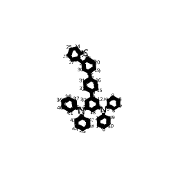 c1ccc(N(c2ccccc2)c2cc(-c3ccc(-c4ccc5sc6ccccc6c5c4)cc3)cc(N(c3ccccc3)c3ccccc3)c2)cc1